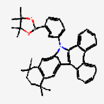 CC1(C)CCC(C)(C)c2cc3c(cc21)c1c2ccccc2c2ccccc2c1n3-c1cccc(B2OC(C)(C)C(C)(C)O2)c1